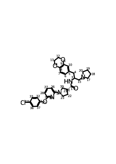 O=C(NC(Cc1ccc2c(c1)OCCO2)CN1CCCC1)[C@@H]1CCN(c2cccc(Oc3ccc(Cl)cc3)n2)C1